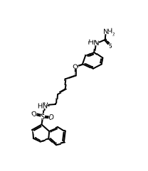 NC(=S)Nc1cccc(OCCCCCNS(=O)(=O)c2cccc3ccccc23)c1